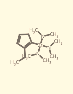 CCC1=[C]([Zr]([N](C)C)([N](C)C)[N](C)C)CC=C1